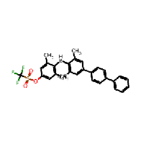 Cc1cc(OS(=O)(=O)C(F)(F)F)cc(C)c1Bc1c(C)cc(-c2ccc(-c3ccccc3)cc2)cc1C